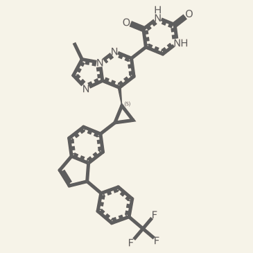 Cc1cnc2c([C@H]3CC3c3ccc4c(c3)C(c3ccc(C(F)(F)F)cc3)C=C4)cc(-c3c[nH]c(=O)[nH]c3=O)nn12